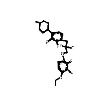 CCOc1ccc(OCC(F)(F)Cc2ccc(C3CCC(C)CC3)c(F)c2F)c(F)c1F